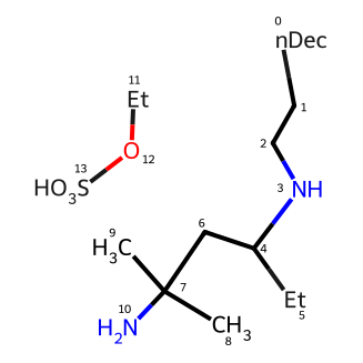 CCCCCCCCCCCCNC(CC)CC(C)(C)N.CCOS(=O)(=O)O